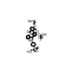 COCCOc1ccc(C(N)=O)c(-c2cc(C(CNC3CCC(N4C(=O)OC[C@H]4CO)CC3)c3ccccc3)ccc2Cl)c1F.O=C(O)C(F)(F)F